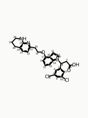 O=C(O)CC(c1cc(Cl)cc(Cl)c1)n1ncc2c(OCCc3ccc4c(n3)NCCC4)cccc21